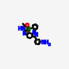 CC(=O)Nc1nc2c(s1)-c1c(c(-c3cccc(N)c3)nn1-c1ccccc1Cl)CC2